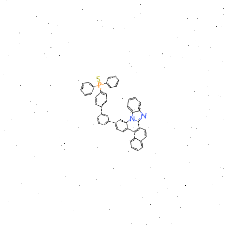 S=P(c1ccccc1)(c1ccccc1)c1ccc(-c2cccc(-c3ccc4c5c6ccccc6ccc5c5nc6ccccc6n5c4c3)c2)cc1